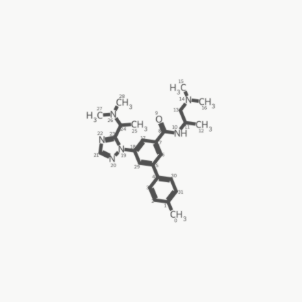 Cc1ccc(-c2cc(C(=O)NC(C)CN(C)C)cc(-n3ncnc3C(C)N(C)C)c2)cc1